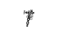 N#CC1(NC(=O)[C@@H]2C[C@@H](S(=O)(=O)c3ccc(N4CCN(C5CC5)CC4)cc3Cl)C[C@H]2C(=O)N2CC(F)(F)C2)CC1